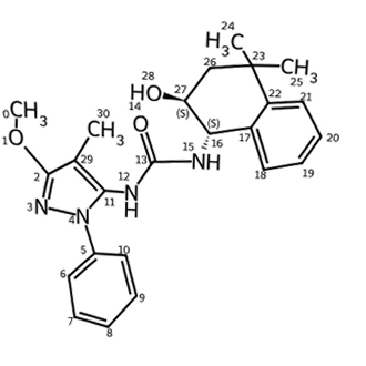 COc1nn(-c2ccccc2)c(NC(=O)N[C@H]2c3ccccc3C(C)(C)C[C@@H]2O)c1C